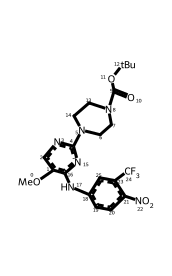 COc1cnc(N2CCN(C(=O)OC(C)(C)C)CC2)nc1Nc1ccc([N+](=O)[O-])c(C(F)(F)F)c1